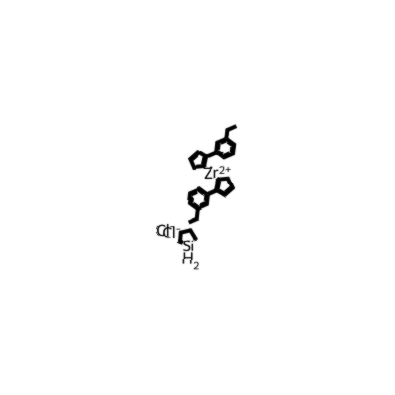 C1CC[SiH2]C1.CCc1cccc(C2=[C]([Zr+2][C]3=C(c4cccc(CC)c4)C=CC3)CC=C2)c1.[Cl-].[Cl-]